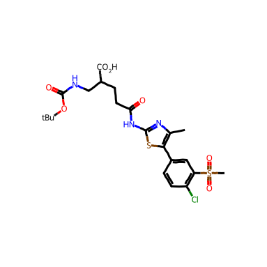 Cc1nc(NC(=O)CCC(CNC(=O)OC(C)(C)C)C(=O)O)sc1-c1ccc(Cl)c(S(C)(=O)=O)c1